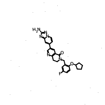 Nc1nc2cc(-c3cnc4c(c3)C(=O)N(Cc3cc(F)ccc3OC3CCCC3)CC4)ccn2n1